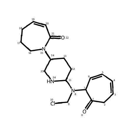 O=C1CC=CC=CC1N(CCl)C1CCC(N2CCCC=CC2=O)CN1